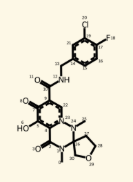 CN1C(=O)c2c(O)c(=O)c(C(=O)NCc3ccc(F)c(Cl)c3)cn2N(C)C12CCOC2